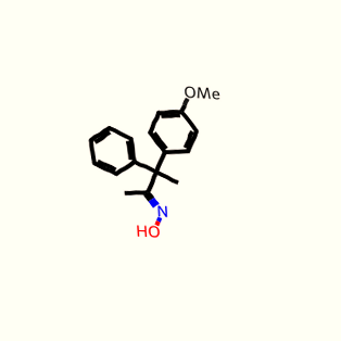 COc1ccc(C(C)(/C(C)=N/O)c2ccccc2)cc1